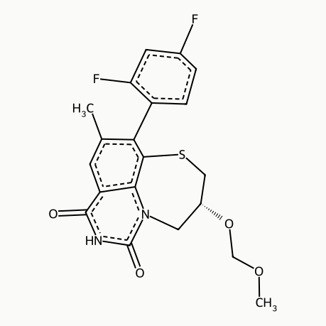 COCO[C@H]1CSc2c(-c3ccc(F)cc3F)c(C)cc3c(=O)[nH]c(=O)n(c23)C1